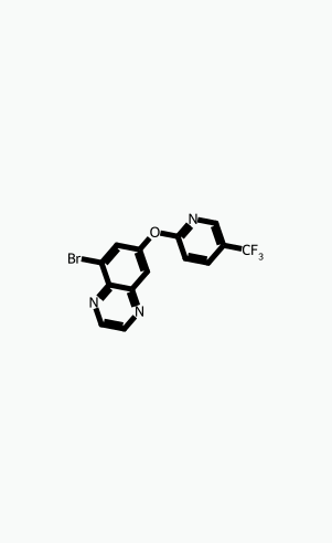 FC(F)(F)c1ccc(Oc2cc(Br)c3nccnc3c2)nc1